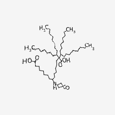 CCCCCCCCC(CCCCCCCC)C(CCCCCCC(CCCCCCCC(=O)O)NC1CC2(COC2)C1)(C(=O)O)C(CCCCCCCC)CCCCCCCC